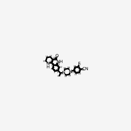 CC(c1ccc2c3c(c(=O)[nH]c2c1)CCCN3)N1CCN(c2ccc(C#N)c(F)c2)CC1